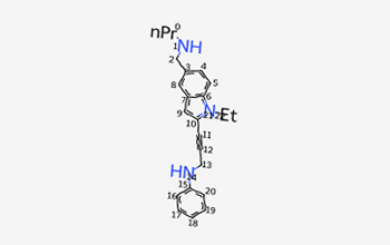 CCCNCc1ccc2c(c1)cc(C#CCNc1ccccc1)n2CC